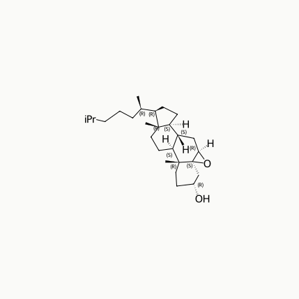 CC(C)CCC[C@@H](C)[C@H]1CC[C@H]2[C@@H]3C[C@H]4O[C@]45C[C@H](O)CC[C@]5(C)[C@H]3CC[C@]12C